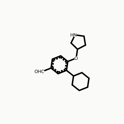 O=Cc1ccc(OC2CCNC2)c(C2CCCCC2)c1